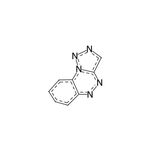 c1ccc2c(c1)nnc1cnnn12